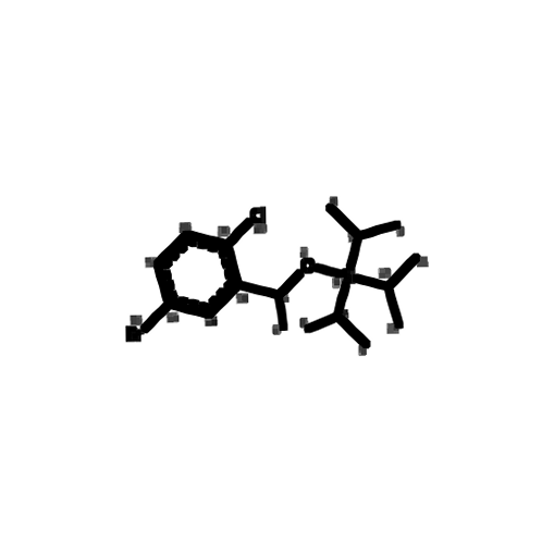 CC(O[Si](C(C)C)(C(C)C)C(C)C)c1cc(Br)ccc1Cl